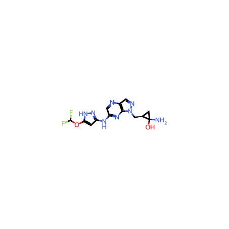 N[C@]1(O)C[C@@H]1Cn1ncc2ncc(Nc3cc(OC(F)F)[nH]n3)nc21